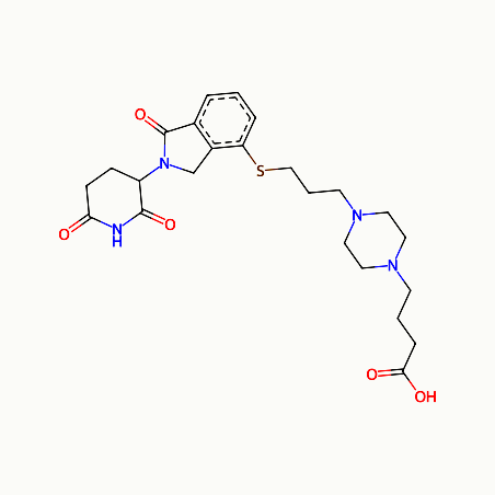 O=C(O)CCCN1CCN(CCCSc2cccc3c2CN(C2CCC(=O)NC2=O)C3=O)CC1